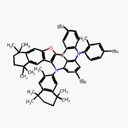 Cc1cc(C(C)(C)C)ccc1N1c2ccc(C(C)(C)C)cc2B2c3oc4cc5c(cc4c3N(c3cc4c(cc3C)C(C)(C)CCC4(C)C)c3cc(C(C)(C)C)cc1c32)C(C)(C)CCC5(C)C